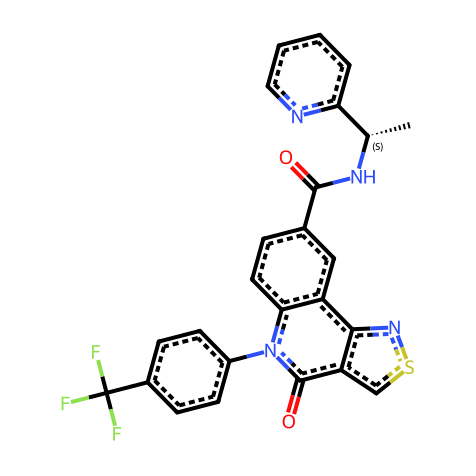 C[C@H](NC(=O)c1ccc2c(c1)c1nscc1c(=O)n2-c1ccc(C(F)(F)F)cc1)c1ccccn1